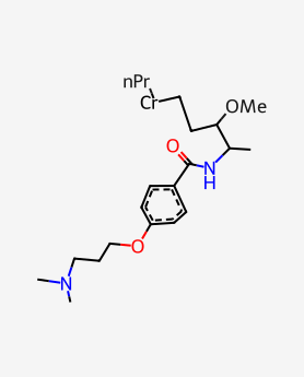 CC[CH2][Cr][CH2]CC(OC)C(C)NC(=O)c1ccc(OCCCN(C)C)cc1